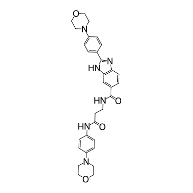 O=C(CCNC(=O)c1ccc2nc(-c3ccc(N4CCOCC4)cc3)[nH]c2c1)Nc1ccc(N2CCOCC2)cc1